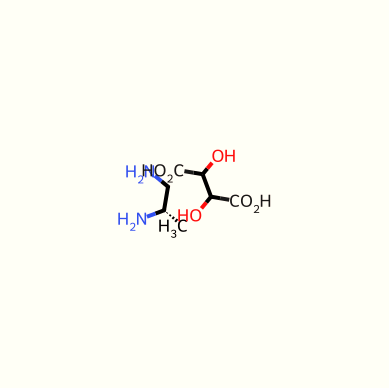 C[C@H](N)CN.O=C(O)C(O)C(O)C(=O)O